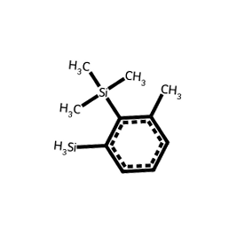 Cc1cccc([SiH3])c1[Si](C)(C)C